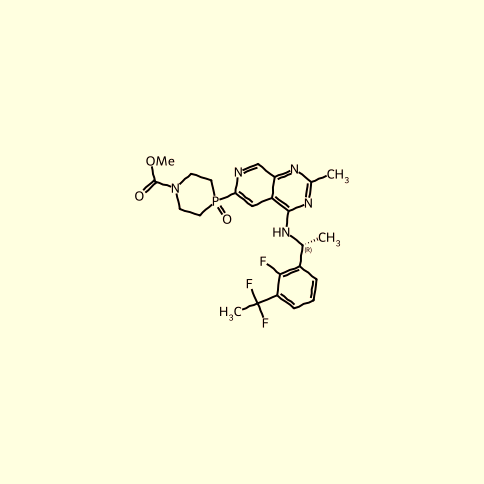 COC(=O)N1CCP(=O)(c2cc3c(N[C@H](C)c4cccc(C(C)(F)F)c4F)nc(C)nc3cn2)CC1